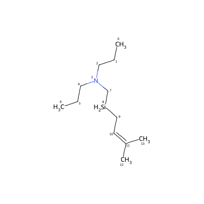 CCCN(CCC)C[SiH2]CC=C(C)C